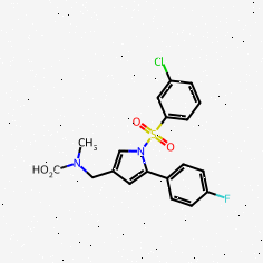 CN(Cc1cc(-c2ccc(F)cc2)n(S(=O)(=O)c2cccc(Cl)c2)c1)C(=O)O